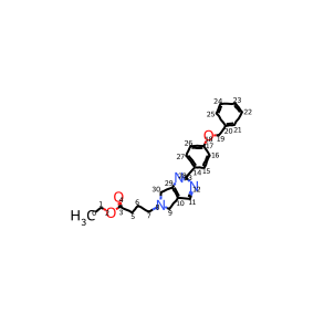 CCOC(=O)CCCN1Cc2cnc(-c3ccc(OCc4ccccc4)cc3)nc2C1